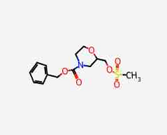 CS(=O)(=O)OCC1CN(C(=O)OCc2ccccc2)CCO1